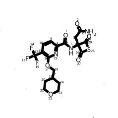 NC(=O)CC1(NC(=O)c2ccc(C(F)(F)F)c(OCC3CCOCC3)n2)C(=O)SC1=O